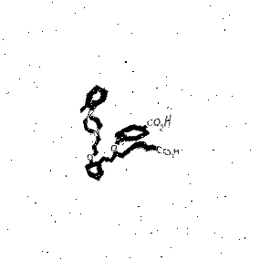 Cc1ccccc1N1CCN(CCCOc2ccccc2CCC(CCCCC(=O)O)Oc2ccc(C(=O)O)cc2)CC1